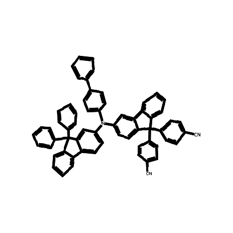 N#Cc1ccc(C2(c3ccc(C#N)cc3)c3ccccc3-c3cc(N(c4ccc(-c5ccccc5)cc4)c4ccc5c(c4)C(c4ccccc4)(c4ccccc4)c4ccccc4-5)ccc32)cc1